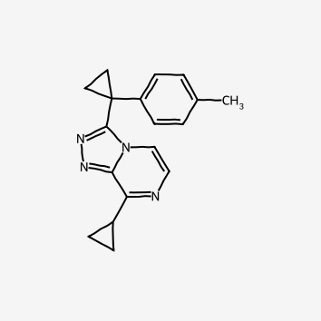 Cc1ccc(C2(c3nnc4c(C5CC5)nccn34)CC2)cc1